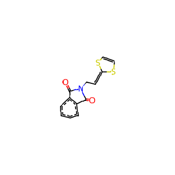 O=C1c2ccccc2C(=O)N1CC=C1SC=CS1